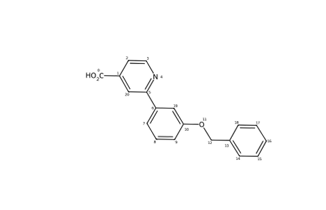 O=C(O)c1ccnc(-c2cccc(OCc3ccccc3)c2)c1